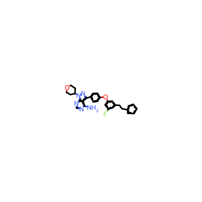 Nc1ncnc2c1c(-c1ccc(Oc3cc(F)cc(CCc4ccccc4)c3)cc1)nn2C1CCOCC1